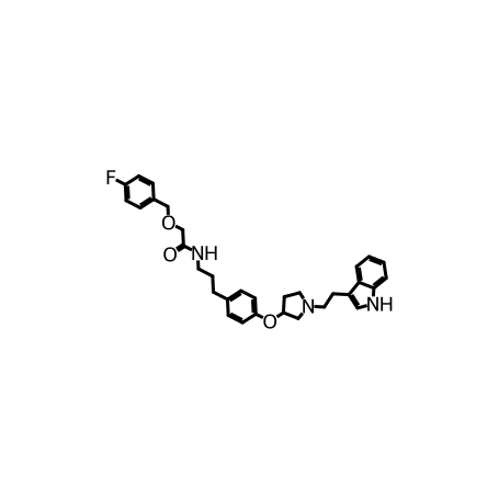 O=C(COCc1ccc(F)cc1)NCCCc1ccc(OC2CCN(CCc3c[nH]c4ccccc34)C2)cc1